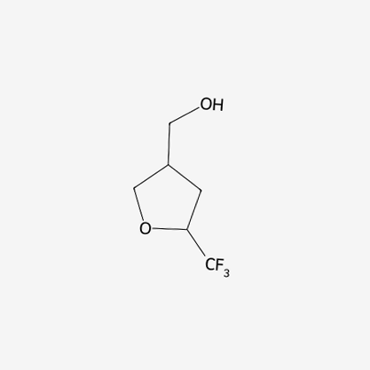 OCC1COC(C(F)(F)F)C1